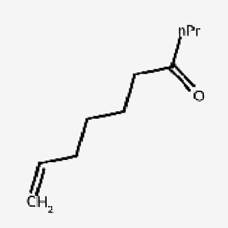 C=CCCCCC(=O)CCC